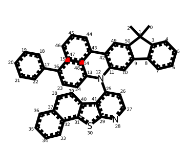 CC1(C)c2ccccc2-c2cc(N(c3ccc(-c4ccccc4)cc3)c3ccnc4sc5c6ccccc6ccc5c34)c(-c3ccccc3)cc21